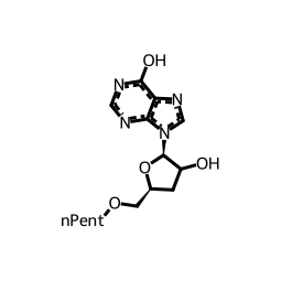 CCCCCOC[C@@H]1CC(O)[C@H](n2cnc3c(O)ncnc32)O1